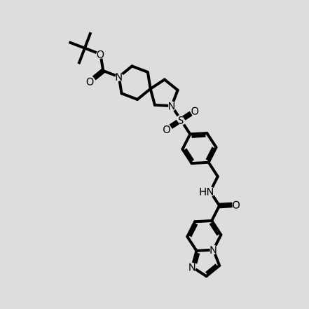 CC(C)(C)OC(=O)N1CCC2(CC1)CCN(S(=O)(=O)c1ccc(CNC(=O)c3ccc4nccn4c3)cc1)C2